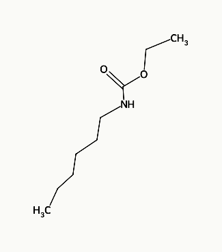 CCCCCCNC(=O)OCC